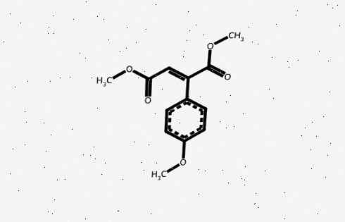 COC(=O)/C=C(/C(=O)OC)c1ccc(OC)cc1